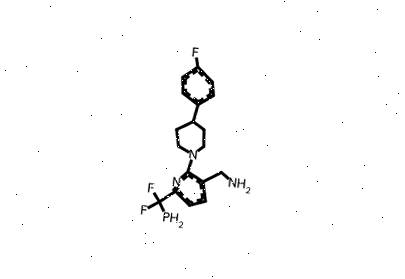 NCc1ccc(C(F)(F)P)nc1N1CCC(c2ccc(F)cc2)CC1